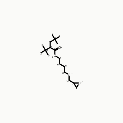 CC(C)(C)CC(C(=O)OCCCCOCC1CO1)C(C)(C)C